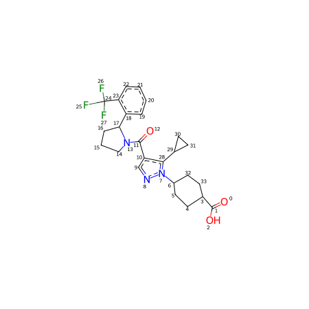 O=C(O)C1CCC(n2ncc(C(=O)N3CCCC3c3ccccc3C(F)(F)F)c2C2CC2)CC1